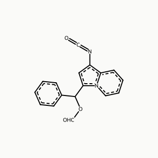 O=C=Nc1cc(C(OC=O)c2ccccc2)n2ccccc12